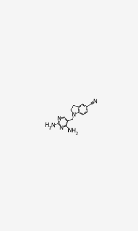 N#Cc1ccc2c(c1)CCN2Cc1cnc(N)nc1N